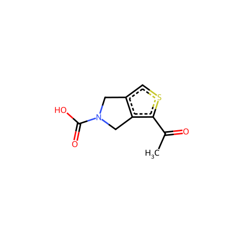 CC(=O)c1scc2c1CN(C(=O)O)C2